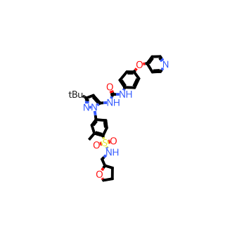 Cc1cc(-n2nc(C(C)(C)C)cc2NC(=O)Nc2ccc(Oc3ccncc3)cc2)ccc1S(=O)(=O)NCC1CCCO1